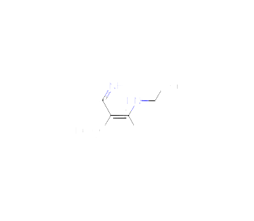 CCOC(=O)/C(C=N)=C(/NCC(C)(C)C)C(F)(F)F